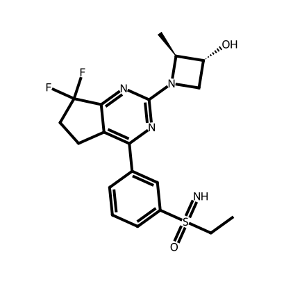 CCS(=N)(=O)c1cccc(-c2nc(N3C[C@@H](O)[C@@H]3C)nc3c2CCC3(F)F)c1